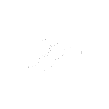 CSc1cc(=O)c2cc(C)ccc2o1